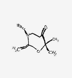 C=C1OC(C)(C)C(=O)N1C(C)(C)C